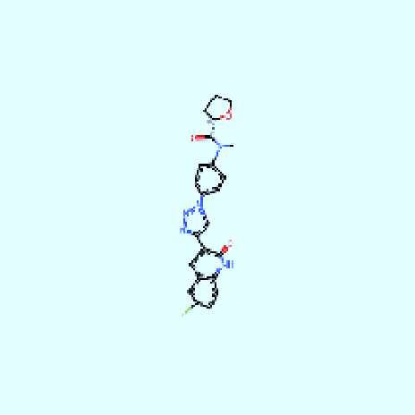 CN(C(=O)[C@@H]1CCCO1)c1ccc(-n2cc(-c3cc4cc(F)ccc4[nH]c3=O)nn2)cc1